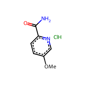 COc1ccc(C(N)=O)nc1.Cl